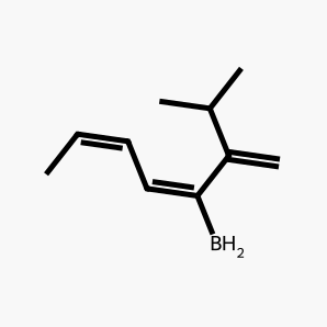 B/C(=C/C=C\C)C(=C)C(C)C